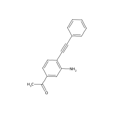 CC(=O)c1ccc(C#Cc2ccccc2)c(N)c1